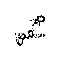 COc1cc(Cc2c[nH]c3ncccc23)ccc1OCc1nc2ccccc2[nH]1